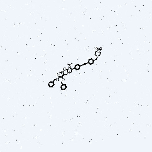 CC(C)N1C(=O)N(Cc2ncnc(OCc3ccccc3)c2OCc2ccccc2)CC1c1ccc(C#Cc2ccc(CN3CCS(=O)(=O)CC3)cc2)cc1